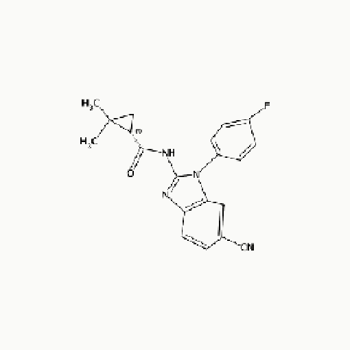 CC1(C)C[C@@H]1C(=O)Nc1nc2ccc(C#N)cc2n1-c1ccc(F)cc1